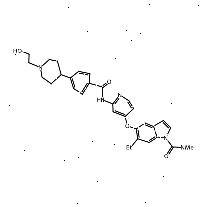 CCc1cc2c(ccn2C(=O)NC)cc1Oc1ccnc(NC(=O)c2ccc(C3CCN(CCO)CC3)cc2)c1